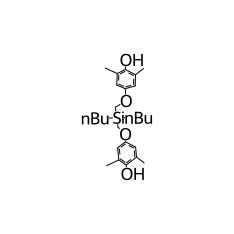 CCCC[Si](CCCC)(COc1cc(C)c(O)c(C)c1)COc1cc(C)c(O)c(C)c1